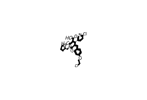 CC1=C(C(=O)O)[C@H](c2ccc(Cl)nc2)C(Cc2ccc(OCCCl)cc2)C(=O)N1C[C@H]1CCCO1